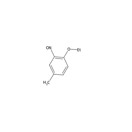 CCOc1ccc(C)cc1N=O